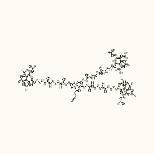 C#CCCC(=O)NC(COCCC(=O)NCCCNC(=O)CCCCO[C@@H]1O[C@H](COC(C)=O)[C@H](OC(C)=O)[C@H](OC(C)=O)[C@H]1NC(C)=O)(COCCC(=O)NCCCNC(=O)CCCCO[C@@H]1O[C@H](COC(C)=O)[C@H](OC(C)=O)[C@H](OC(C)=O)[C@H]1NC(C)=O)COCCC(=O)NCCCNC(=O)CCCCO[C@@H]1O[C@H](COC(C)=O)[C@H](OC(C)=O)[C@H](OC(C)=O)[C@H]1NC(C)=O